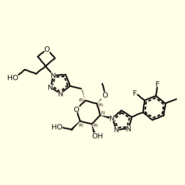 CO[C@@H]1[C@@H](n2cc(-c3ccc(C)c(F)c3F)nn2)[C@@H](O)[C@@H](CO)O[C@@H]1Cc1cn(C2(CCO)COC2)nn1